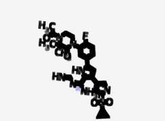 CC(=O)N1CCN(c2cc(-c3cc(-c4cnn(S(=O)(=O)C5CC5)c4)c(/C(N)=N\C=N)[nH]3)ccc2F)C(=O)C1(C)C